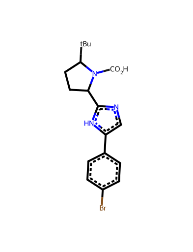 CC(C)(C)C1CCC(c2ncc(-c3ccc(Br)cc3)[nH]2)N1C(=O)O